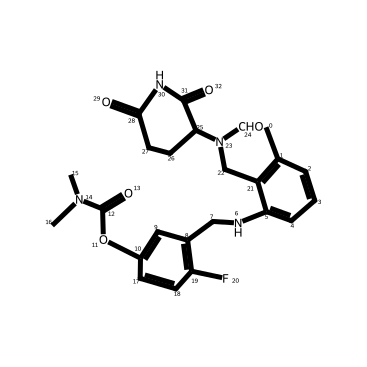 Cc1cccc(NCc2cc(OC(=O)N(C)C)ccc2F)c1CN(C=O)C1CCC(=O)NC1=O